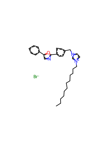 CCCCCCCCCCCC[n+]1ccn(Cc2ccc(-c3ncc(-c4ccccc4)o3)cc2)c1.[Br-]